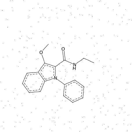 CCNC(=O)c1c(OC)c2ccccc2n1-c1ccccc1